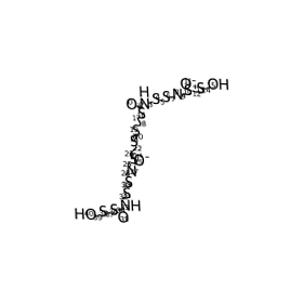 O=C(NCSCSC/N=C/[S+]([O-])CSCO)SCCSCSCC[S+]([O-])/C=N/CSCSCNC(=O)SCSCO